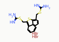 Br.Br.N=C(N)SCC1=C2SC(CSC(=N)N)=C3C=CC=CC32CC=C1